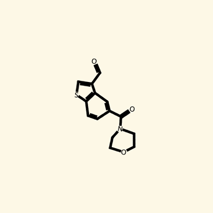 O=Cc1csc2ccc(C(=O)N3CCOCC3)cc12